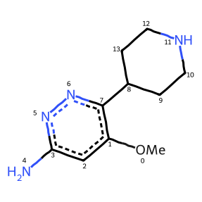 COc1cc(N)nnc1C1CCNCC1